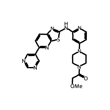 COCC(=O)N1CCN(c2ccnc(Nc3nc4ccc(-c5cncnc5)nc4s3)c2)CC1